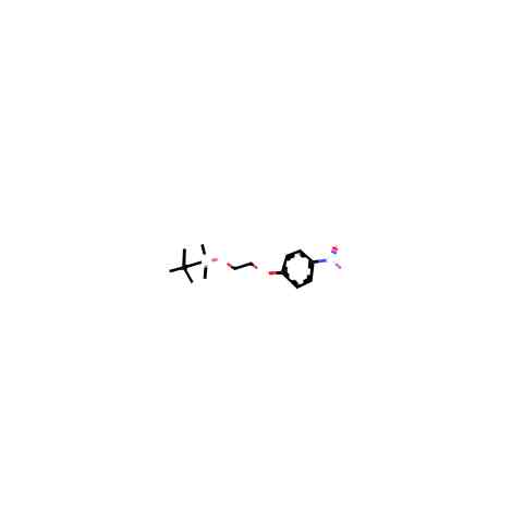 CC(C)(C)[Si](C)(C)OCCOc1ccc([N+](=O)[O-])cc1